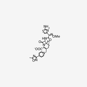 CO/N=C(\C(=O)N[C@@H]1C(=O)N2C(C(=O)[O-])=C(C[n+]3ccc(-c4noc(C)n4)cc3)CS[C@@H]12)c1csc(N)n1